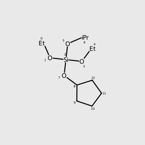 CCO[Si](OCC)(OC(C)C)OC1CCCC1